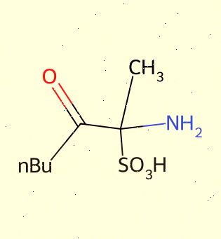 CCCCC(=O)C(C)(N)S(=O)(=O)O